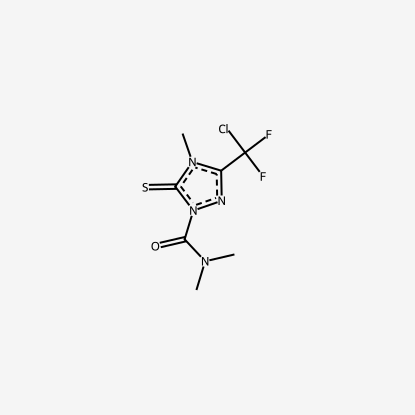 CN(C)C(=O)n1nc(C(F)(F)Cl)n(C)c1=S